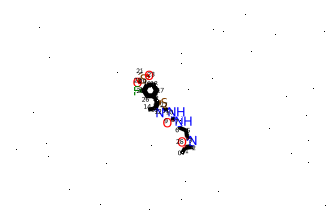 Cc1cnc(CCNC(=O)Nc2nc(C)c(-c3ccc(S(C)(=O)=O)c(F)c3)s2)o1